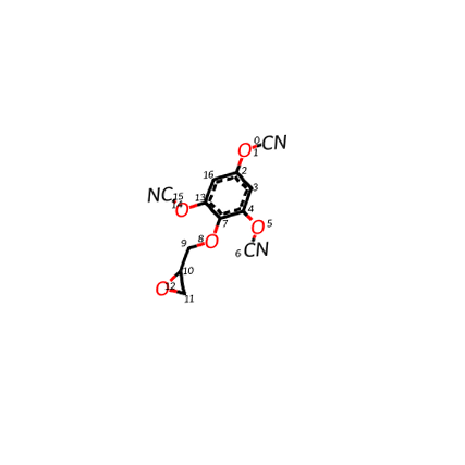 N#COc1cc(OC#N)c(OCC2CO2)c(OC#N)c1